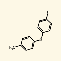 Fc1ccc(Sc2ccc(C(F)(F)F)cc2)cc1